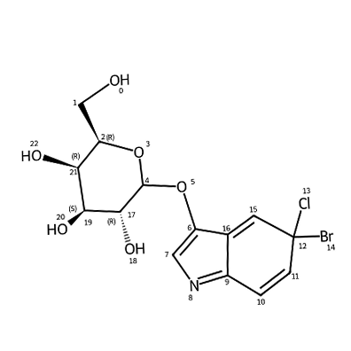 OC[C@H]1OC(OC2=CN=C3C=CC(Cl)(Br)C=C23)[C@H](O)[C@@H](O)[C@H]1O